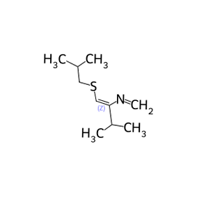 C=N/C(=C\SCC(C)C)C(C)C